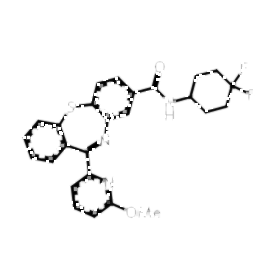 COc1cccc(C2=Nc3cc(C(=O)NC4CCC(F)(F)CC4)ccc3Sc3ccccc32)n1